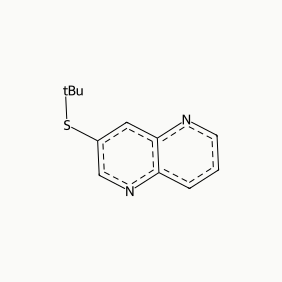 CC(C)(C)Sc1cnc2cccnc2c1